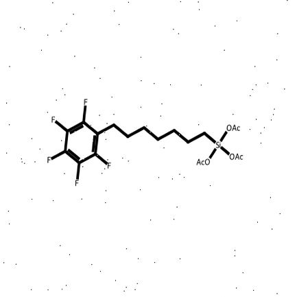 CC(=O)O[Si](CCCCCCCc1c(F)c(F)c(F)c(F)c1F)(OC(C)=O)OC(C)=O